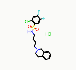 Cl.O=S(=O)(NCCCCN1CCc2ccccc2C1)c1cc(F)c(F)cc1Cl